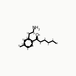 CCCCCC(=O)c1ccc(C)cc1CCN